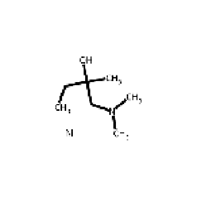 CCC(C)(O)CN(C)C.[Ni]